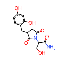 NC(=O)C(CO)N1C(=O)CC(Cc2ccc(O)cc2O)C1=O